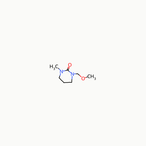 COCN1CCCN(C)C1=O